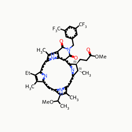 CCC1=C(C)c2cc3[nH]c(cc4nc(c5c6[nH]c(cc1n2)c(C)c6C(=O)N(Cc1cc(C(F)(F)F)cc(C(F)(F)F)c1)C5=O)[C@@H](CCC(=O)OC)[C@@H]4C)c(C)c3C(C)OC